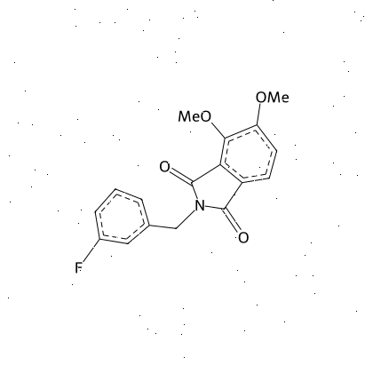 COc1ccc2c(c1OC)C(=O)N(Cc1cccc(F)c1)C2=O